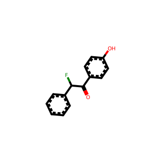 O=C(c1ccc(O)cc1)C(F)c1ccccc1